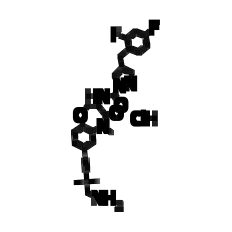 CN1C(=O)[C@@H](NC(=O)n2cc(Cc3ccc(F)cc3F)cn2)COc2ccc(C#CC(C)(C)CN)cc21.Cl